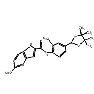 COc1ccc2[nH]c(C(=O)Nc3ccc(B4OC(C)(C)C(C)(C)O4)cc3OC)cc2n1